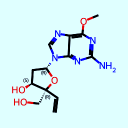 C=C[C@]1(CO)O[C@@H](n2cnc3c(OC)nc(N)nc32)C[C@@H]1O